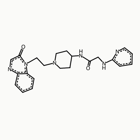 O=C(CNc1ccccn1)NC1CCN(CCn2c(=O)cnc3ccccc32)CC1